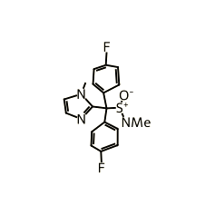 CN[S+]([O-])C(c1ccc(F)cc1)(c1ccc(F)cc1)c1nccn1C